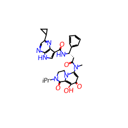 CC(C)N1CCn2c(N(C)C(=O)C[C@H](NC(=O)c3c[nH]c4ncc(C5CC5)nc34)c3ccccc3)cc(=O)c(O)c2C1=O